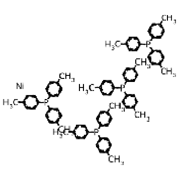 Cc1ccc(P(c2ccc(C)cc2)c2ccc(C)cc2)cc1.Cc1ccc(P(c2ccc(C)cc2)c2ccc(C)cc2)cc1.Cc1ccc(P(c2ccc(C)cc2)c2ccc(C)cc2)cc1.Cc1ccc(P(c2ccc(C)cc2)c2ccc(C)cc2)cc1.[Ni]